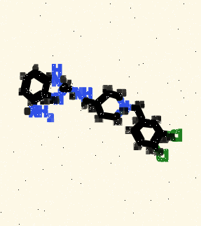 Nc1cccc2[nH]c(NCC3CCN(Cc4ccc(Cl)c(Cl)c4)CC3)nc12